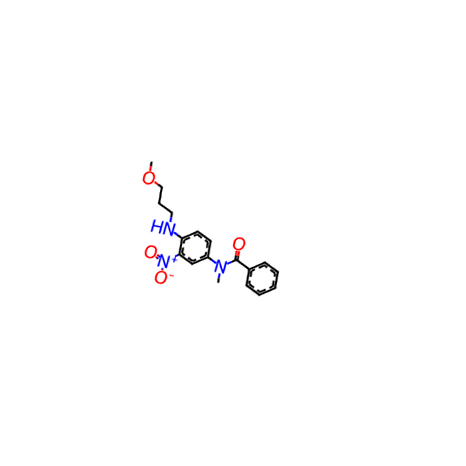 COCCCNc1ccc(N(C)C(=O)c2ccccc2)cc1[N+](=O)[O-]